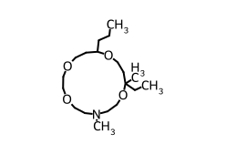 CCCC1CCOCCOCCN(C)CCOC(C)(CC)CCO1